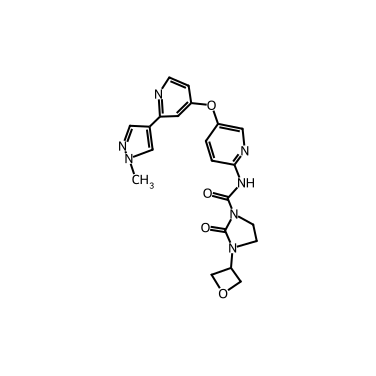 Cn1cc(-c2cc(Oc3ccc(NC(=O)N4CCN(C5COC5)C4=O)nc3)ccn2)cn1